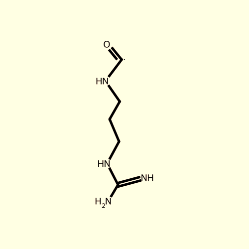 N=C(N)NCCCN[C]=O